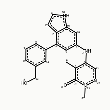 Cc1c(Nc2cc(-c3cccc(CO)c3)c3cc[nH]c3c2)cnn(C)c1=O